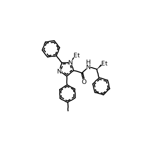 CC[C@H](NC(=O)c1c(-c2ccc(C)cc2)nc(-c2ccccc2)n1CC)c1ccccc1